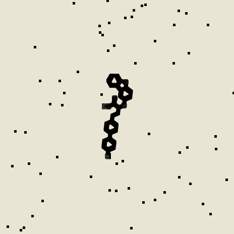 O=C(O)C(CCc1ccc(-c2ccc(Cl)cc2)cc1)Oc1ccc2oc3ccccc3c2c1